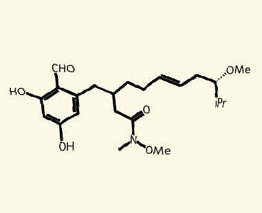 CO[C@@H](C/C=C/CCC(CC(=O)N(C)OC)Cc1cc(O)cc(O)c1C=O)C(C)C